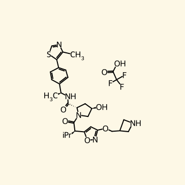 Cc1ncsc1-c1ccc([C@H](C)NC(=O)[C@@H]2C[C@@H](O)CN2C(=O)[C@@H](c2cc(OCC3CNC3)no2)C(C)C)cc1.O=C(O)C(F)(F)F